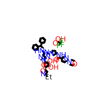 CCc1cc([C@H]2O[C@@H](n3cnc4c(NCC(c5ccccc5)c5ccccc5)nc(N5CC[C@@H](NC(=O)c6ccc(N7CCOCC7)nc6)C5)nc43)[C@H](O)[C@@H]2O)on1.O=C(O)C(F)(F)F